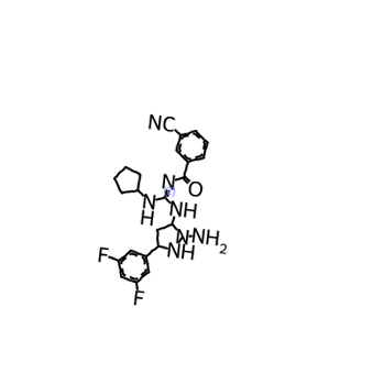 N#Cc1cccc(C(=O)/N=C(/NC2CCCC2)NC2CC(c3cc(F)cc(F)c3)NN2N)c1